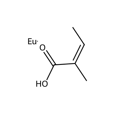 CC=C(C)C(=O)O.[Eu]